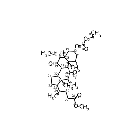 CCOC(=O)O[C@@H]1CC[C@]2(C)C3C(C(=O)[C@H](CC)[C@@H]2C1)C1CCC([C@H](C)CCC(=O)OC)[C@@]1(C)C(C)[C@@H]3O